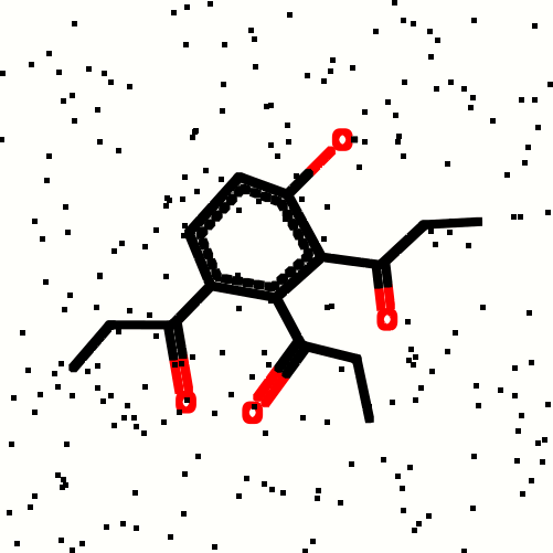 CCC(=O)c1ccc([O])c(C(=O)CC)c1C(=O)CC